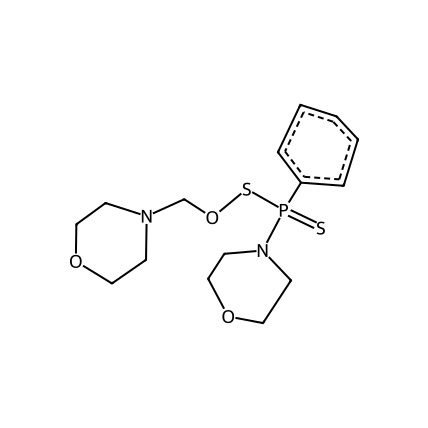 S=P(SOCN1CCOCC1)(c1ccccc1)N1CCOCC1